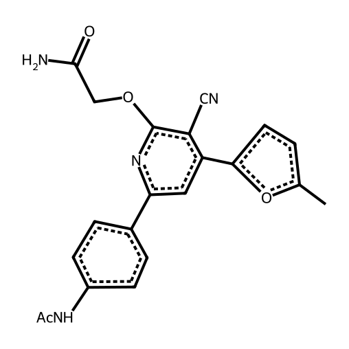 CC(=O)Nc1ccc(-c2cc(-c3ccc(C)o3)c(C#N)c(OCC(N)=O)n2)cc1